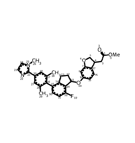 COC(=O)CC1COc2cc(OC3CCc4c(-c5c(C)cc(-c6nccn6C)cc5C)ccc(F)c43)ccc21